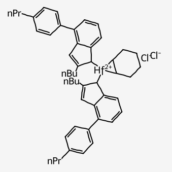 CCCCC1=Cc2c(-c3ccc(CCC)cc3)cccc2[CH]1[Hf+2]1([CH]2C(CCCC)=Cc3c(-c4ccc(CCC)cc4)cccc32)[CH]2CCCC[CH]21.[Cl-].[Cl-]